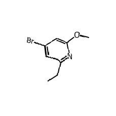 CCc1cc(Br)cc(OC)n1